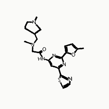 Cc1ccc(-c2nc(NC(=O)CN(C)CC3CCN(C)C3)cc(-c3nccs3)n2)o1